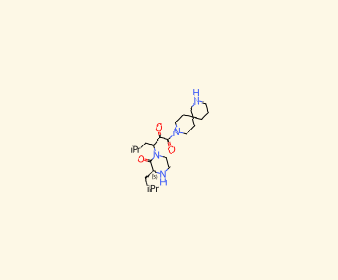 CC(C)CC(C(=O)C(=O)N1CCC2(CCCNC2)CC1)N1CCN[C@@H](CC(C)C)C1=O